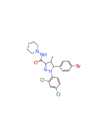 CC1C(C(=O)NN2CCCCC2)=NN(c2ccc(Cl)cc2Cl)C1c1ccc(Br)cc1